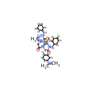 CN(C)c1ccc(C[C@H]2C(=O)N(Cc3ccc(F)cc3F)C[C@H]3N2C(=O)CN(C)N3C(=O)NCc2ccccc2)cc1